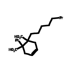 CC(C)CCCCCC1(C(=O)O)CC=CCC1(C(=O)O)C(C)C